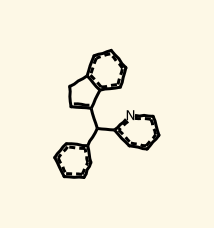 C1=C(C(c2ccccc2)c2ccccn2)c2ccccc2C1